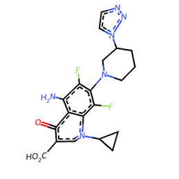 Nc1c(F)c(N2CCCC(n3ccnn3)C2)c(F)c2c1c(=O)c(C(=O)O)cn2C1CC1